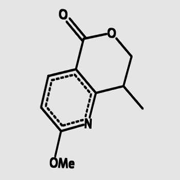 COc1ccc2c(n1)C(C)COC2=O